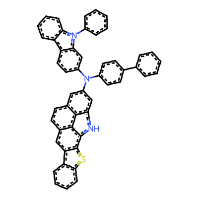 c1ccc(-c2ccc(N(c3cc4ccc5cc6c7ccccc7sc6c6[nH]c(c3)c4c56)c3ccc4c5ccccc5n(-c5ccccc5)c4c3)cc2)cc1